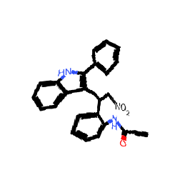 C=CC(=O)Nc1ccccc1C(C[N+](=O)[O-])c1c(-c2ccccc2)[nH]c2ccccc12